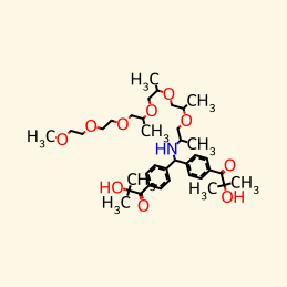 COCCOCCOCC(C)OCC(C)OCC(C)OCC(C)NC(c1ccc(C(=O)C(C)(C)O)cc1)c1ccc(C(=O)C(C)(C)O)cc1